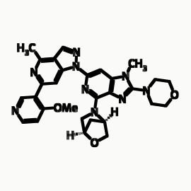 COc1ccncc1-c1cc2c(cnn2-c2cc3c(nc(N4CCOCC4)n3C)c(N3C[C@H]4C[C@@H]3CO4)n2)c(C)n1